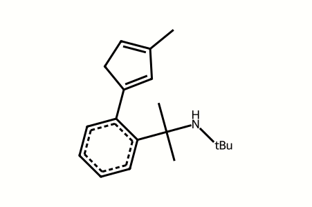 CC1=CCC(c2ccccc2C(C)(C)NC(C)(C)C)=C1